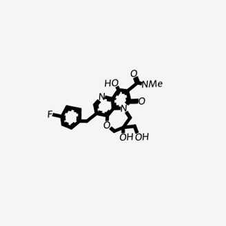 CNC(=O)c1c(O)c2ncc(Cc3ccc(F)cc3)c3c2n(c1=O)CC(O)(CO)CO3